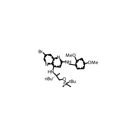 CCCC[C@](C)(CO[Si](C)(C)C(C)(C)C)Nc1cc(NCc2ccc(OC)cc2OC)nc2cc(Br)cnc12